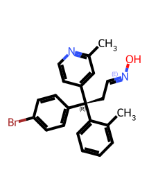 Cc1cc([C@@](C/C=N/O)(c2ccc(Br)cc2)c2ccccc2C)ccn1